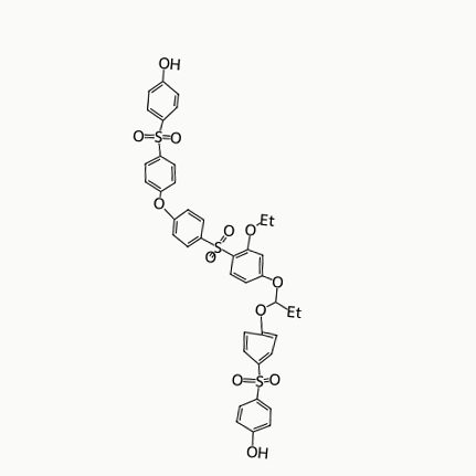 CCOc1cc(OC(CC)Oc2ccc(S(=O)(=O)c3ccc(O)cc3)cc2)ccc1S(=O)(=O)c1ccc(Oc2ccc(S(=O)(=O)c3ccc(O)cc3)cc2)cc1